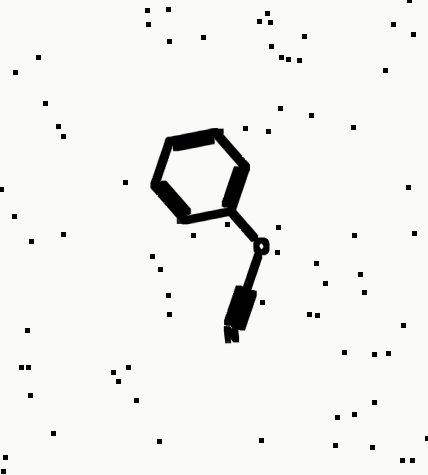 N#COc1[c]cc[c]c1